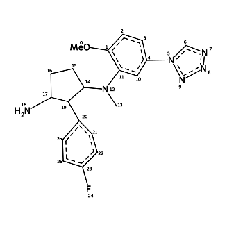 COc1ccc(-n2cnnn2)cc1N(C)C1CCC(N)C1c1ccc(F)cc1